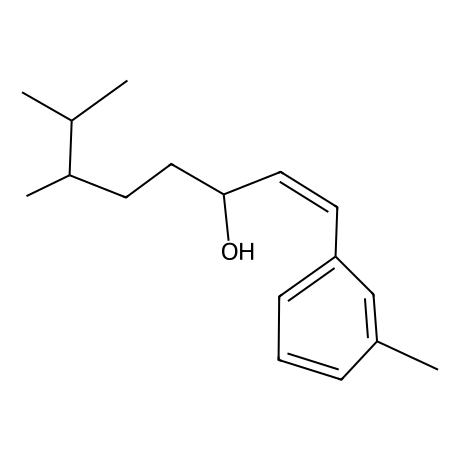 Cc1cccc(/C=C\C(O)CCC(C)C(C)C)c1